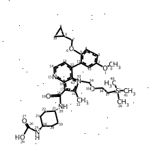 COc1ccc(OCC2CC2)c(-c2ccnc3c(C(=O)N[C@H]4CC[C@H](NC(=O)O)CC4)c(C)n(COCC[Si](C)(C)C)c23)c1